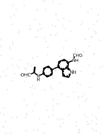 C=C(C=O)Nc1ccc(-c2ccc(NC=O)c3[nH]ccc23)cc1